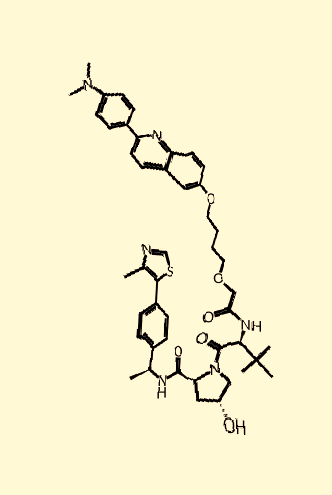 Cc1ncsc1-c1ccc([C@H](C)NC(=O)[C@@H]2C[C@@H](O)CN2C(=O)[C@@H](NC(=O)COCCCCOc2ccc3nc(-c4ccc(N(C)C)cc4)ccc3c2)C(C)(C)C)cc1